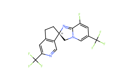 FC1=CC(C(F)(F)F)=CN2C[C@@]3(CCc4cc(C(F)(F)F)ncc43)N=C12